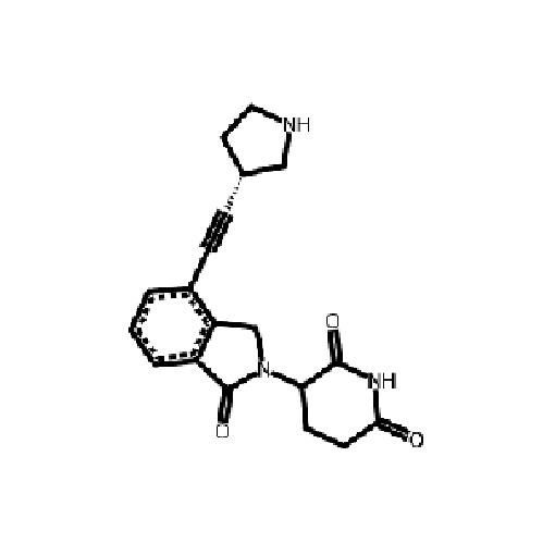 O=C1CCC(N2Cc3c(C#C[C@@H]4CCNC4)cccc3C2=O)C(=O)N1